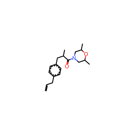 C=CCc1ccc(CC(C)C(=O)N2CC(C)OC(C)C2)cc1